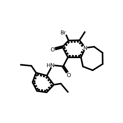 CCc1cccc(CC)c1NC(=O)c1c2n(c(C)c(Br)c1=O)CCCCC2